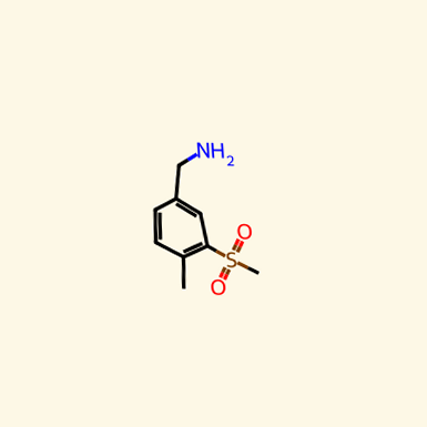 Cc1ccc(CN)cc1S(C)(=O)=O